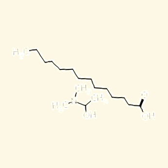 CC(O)N(C)C.CCCCCCCCCCCCCC(=O)O